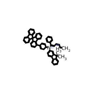 C=C/C=C\C=C(/c1ccccc1)N(c1ccc2c(c1)C(C)(C)c1ccccc1-2)C1C=CC(c2cccc3c2-c2ccccc2C32c3ccccc3-c3ccccc32)=CC1